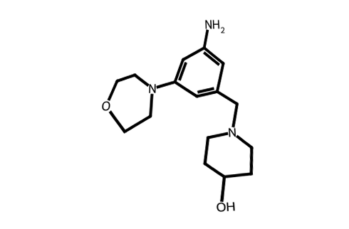 Nc1cc(CN2CCC(O)CC2)cc(N2CCOCC2)c1